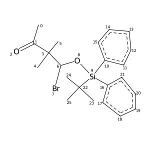 CC(=O)C(C)(C)C(Br)O[Si](c1ccccc1)(c1ccccc1)C(C)(C)C